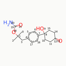 CC(C)(Cc1ccc(C2(O)CCC(=O)CC2)cc1)OC(N)=O